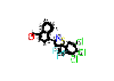 O=Cc1ccc(C2=NSC(c3cc(Cl)c(Cl)c(Cl)c3)(C(F)(F)F)C2)c2ccccc12